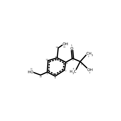 CC(C)(O)C(=O)c1ccc(CO)cc1CO